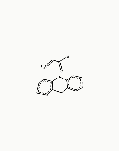 C=CC(=O)O.c1ccc2c(c1)Cc1ccccc1O2